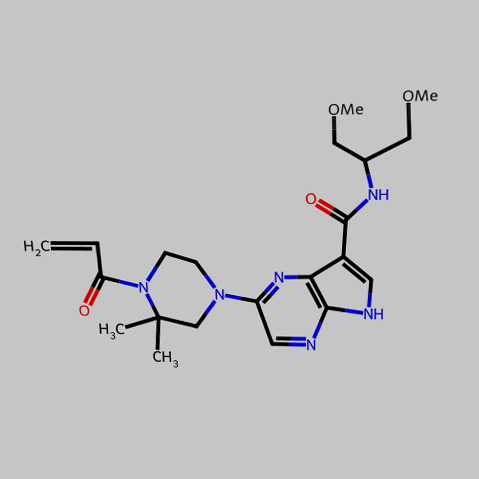 C=CC(=O)N1CCN(c2cnc3[nH]cc(C(=O)NC(COC)COC)c3n2)CC1(C)C